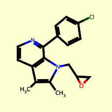 Cc1c(C)n(CC2CO2)c2c(-c3ccc(Cl)cc3)nccc12